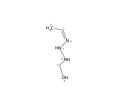 C/C=N\NNCO